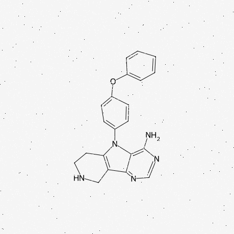 Nc1ncnc2c3c(n(-c4ccc(Oc5ccccc5)cc4)c12)CCNC3